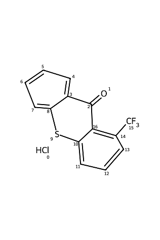 Cl.O=c1c2ccccc2sc2cccc(C(F)(F)F)c12